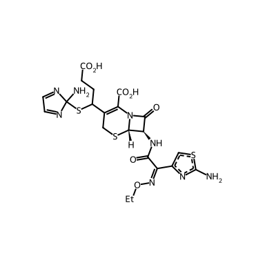 CCO/N=C(\C(=O)N[C@@H]1C(=O)N2C(C(=O)O)=C(C(CCC(=O)O)SC3(N)N=CC=N3)CS[C@@H]12)c1csc(N)n1